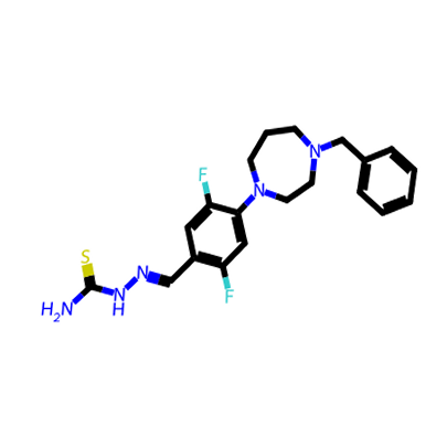 NC(=S)NN=Cc1cc(F)c(N2CCCN(Cc3ccccc3)CC2)cc1F